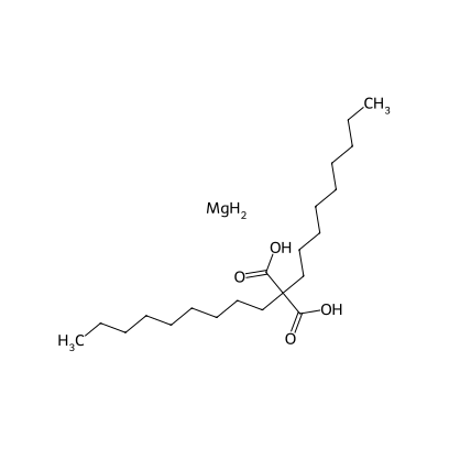 CCCCCCCCCC(CCCCCCCCC)(C(=O)O)C(=O)O.[MgH2]